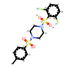 Cc1ccc(S(=O)(=O)N2CCN(S(=O)(=O)c3c(F)cccc3F)CC2)cc1